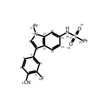 CC(C)n1cc(-c2ccc(C#N)c(F)c2)c2ccc(NS(=O)(=O)C(C)C)cc21